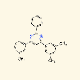 Cc1cccc(-c2cc(-c3cc(C)cc(C)c3)nc(-c3ccccc3)n2)c1